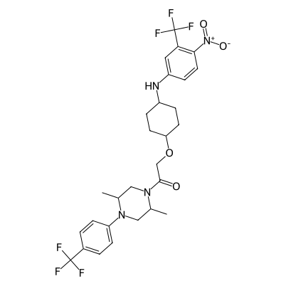 CC1CN(c2ccc(C(F)(F)F)cc2)C(C)CN1C(=O)COC1CCC(Nc2ccc([N+](=O)[O-])c(C(F)(F)F)c2)CC1